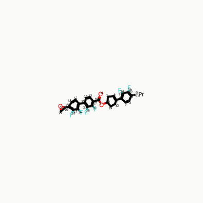 CCCc1ccc(C2=CCC(OC(=O)c3ccc(-c4ccc(C5CO5)c(F)c4F)c(F)c3F)CC2)c(F)c1F